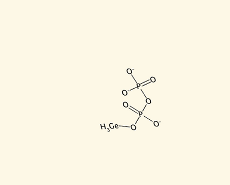 O=P([O-])([O-])OP(=O)([O-])[O][GeH3]